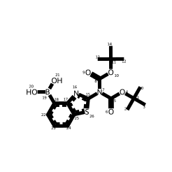 CC(C)(C)OC(=O)N(C(=O)OC(C)(C)C)c1nc2c(B(O)O)cccc2s1